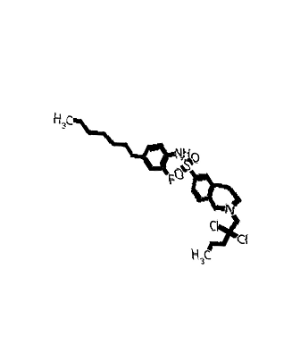 CCCCCCCc1ccc(NS(=O)(=O)c2ccc3c(c2)CCN(CC(Cl)(Cl)CCC)C3)c(F)c1